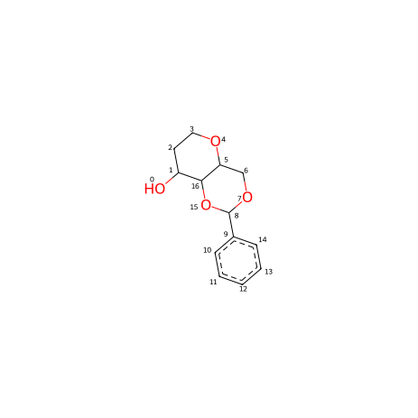 OC1CCOC2COC(c3ccccc3)OC12